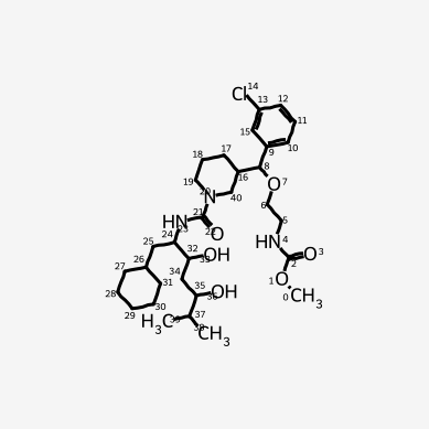 COC(=O)NCCOC(c1cccc(Cl)c1)C1CCCN(C(=O)NC(CC2CCCCC2)C(O)CC(O)C(C)C)C1